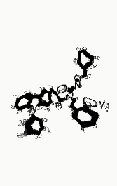 COc1ccccc1CCN1C(=O)/C(=C\c2ccc3c(c2)c2ccccc2n3-c2ccccc2)OC1=NOCc1ccccc1